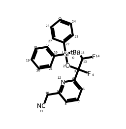 CC(C)(C)[Si](OC(F)(c1cccc(CC#N)n1)C(F)F)(c1ccccc1)c1ccccc1